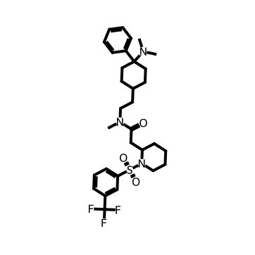 CN(CCC1CCC(c2ccccc2)(N(C)C)CC1)C(=O)CC1CCCCN1S(=O)(=O)c1cccc(C(F)(F)F)c1